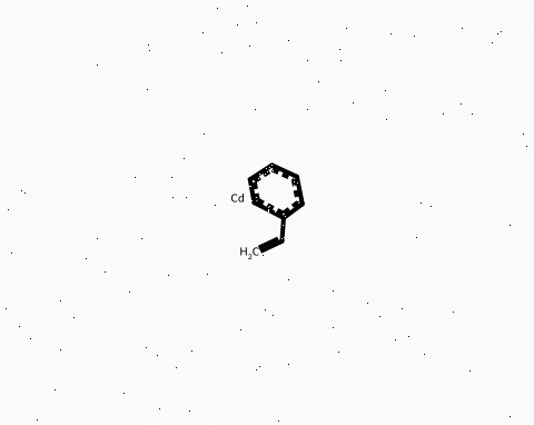 C=Cc1ccccc1.[Cd]